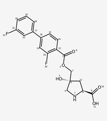 O=C(OC[C@]1(O)CN[C@H](C(=O)O)C1)c1ccc(-c2cccc(F)c2)cc1F